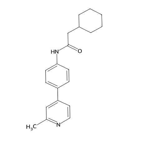 Cc1cc(-c2ccc(NC(=O)CC3CCCCC3)cc2)ccn1